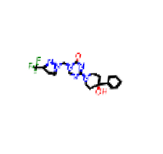 O=c1nc(N2CCC(O)(c3ccccc3)CC2)ncn1Cn1ccc(C(F)(F)F)n1